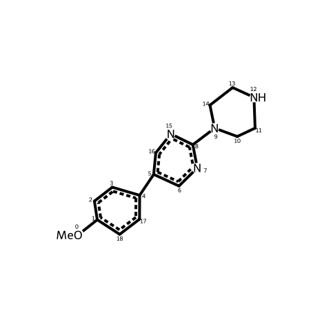 COc1ccc(-c2cnc(N3CCNCC3)nc2)cc1